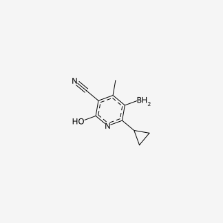 Bc1c(C2CC2)nc(O)c(C#N)c1C